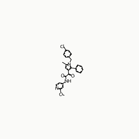 COc1cc(NC(=O)C(=O)c2cc(C)n(Cc3ccc(Cl)cc3)c2-c2ccccc2)ccn1